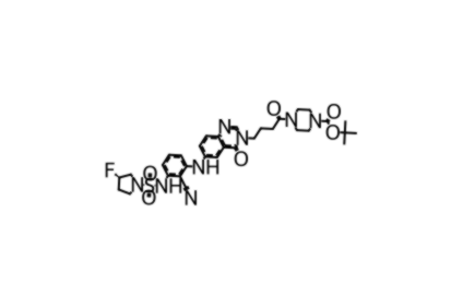 CC(C)(C)OC(=O)N1CCN(C(=O)CCCn2cnc3ccc(Nc4cccc(NS(=O)(=O)N5CC[C@@H](F)C5)c4C#N)cc3c2=O)CC1